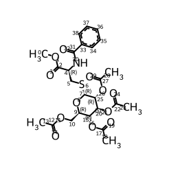 COC(=O)[C@H](CS[C@H]1O[C@H](COC(C)=O)[C@@H](OC(C)=O)[C@H](OC(C)=O)[C@H]1OC(C)=O)NC(=O)c1ccccc1